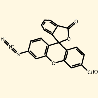 [N-]=[N+]=Nc1ccc2c(c1)Oc1cc(C=O)ccc1C21OC(=O)c2ccccc21